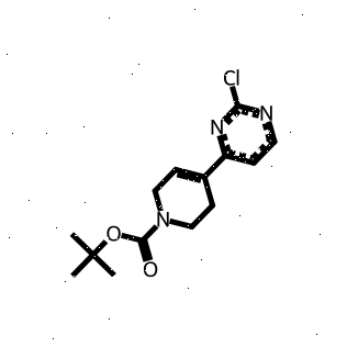 CC(C)(C)OC(=O)N1CC=C(c2ccnc(Cl)n2)CC1